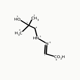 CC(C)(O)CNN=CC(=O)O